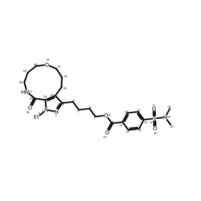 CCn1nc(CCCCOC(=O)c2ccc(S(=O)(=O)N(C)C)cc2)c2c1C(=O)NCCCOCCC2